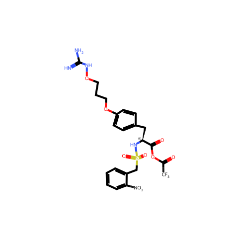 N=C(N)NOCCCOc1ccc(C[C@H](NS(=O)(=O)Cc2ccccc2[N+](=O)[O-])C(=O)OC(=O)C(F)(F)F)cc1